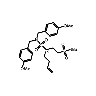 C=CCC[C@H](CCS(=O)(=O)C(C)(C)C)S(=O)(=O)N(Cc1ccc(OC)cc1)Cc1ccc(OC)cc1